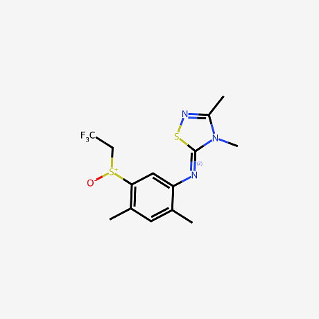 Cc1cc(C)c([S+]([O-])CC(F)(F)F)cc1/N=c1\snc(C)n1C